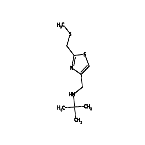 CSCc1nc(CNC(C)(C)C)cs1